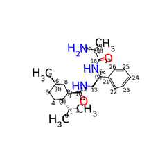 CC(C)[C@@H]1CC[C@@H](C)C[C@H]1C(=O)NC[C@@H](NC(=O)[C@@H](C)N)c1ccccc1